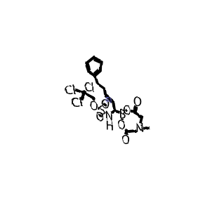 CN1CC(=O)OB(C(/C=C/CCc2ccccc2)NS(=O)(=O)OCC(Cl)(Cl)Cl)OC(=O)C1